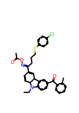 CCN1c2ccc(C(=O)c3ccccc3C)cc2C2C=C(/C(CCCSc3ccc(Cl)cc3)=N/OC(C)=O)C=CC21